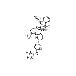 CC(C)Oc1ccc(-c2ccc(C(=O)NS(=O)(=O)c3ccccc3N=[N+]=[N-])c(N3C(C)CC[C@@H]3C)n2)cn1